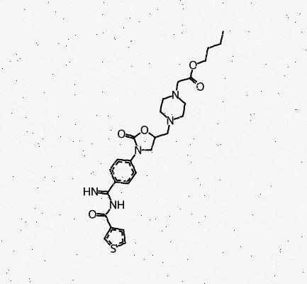 CCCCOC(=O)CN1CCN(CC2CN(c3ccc(C(=N)NC(=O)c4ccsc4)cc3)C(=O)O2)CC1